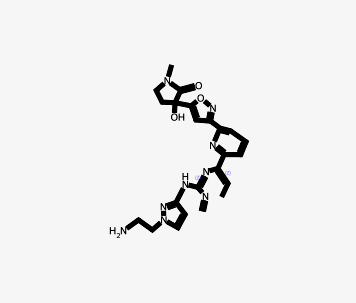 C=N/C(=N\C(=C/C)c1cccc(-c2cc(C3(O)CCN(C)C3=O)on2)n1)Nc1ccn(CCN)n1